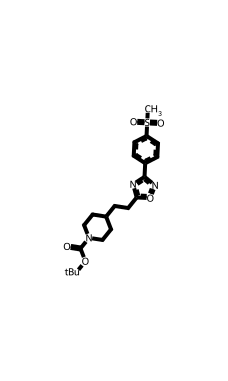 CC(C)(C)OC(=O)N1CCC(CCc2nc(-c3ccc(S(C)(=O)=O)cc3)no2)CC1